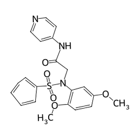 COc1ccc(OC)c(N(CC(=O)Nc2ccncc2)S(=O)(=O)c2ccccc2)c1